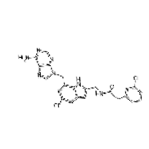 Nc1ncnc2c1ncn2Cc1cc(Cl)cc2cc(CNC(=O)Cc3cccc(Cl)c3)[nH]c12